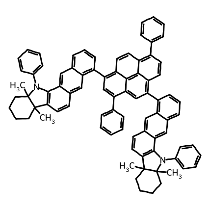 CC12CCCCC1(C)N(c1ccccc1)c1c2ccc2cc3c(-c4cc5c(-c6ccccc6)cc(-c6cccc7cc8c9c(ccc8cc67)C6(C)CCCCC6(C)N9c6ccccc6)c6ccc7c(-c8ccccc8)ccc4c7c56)cccc3cc12